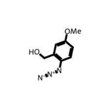 COc1ccc(N=[N+]=[N-])c(CO)c1